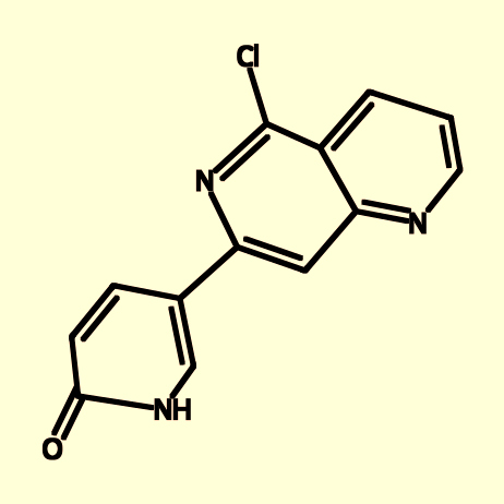 O=c1ccc(-c2cc3ncccc3c(Cl)n2)c[nH]1